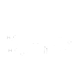 CC(C)=CC(C=O)CNC1CCOCC1